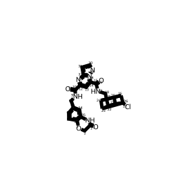 O=C1COc2ccc(CNC(=O)c3cc(C(=O)NCC45C6C7C4C4C5C6C74Cl)n4nccc4n3)cc2N1